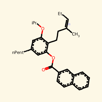 CC/C=C(/C)CCc1c(OC(=O)c2ccc3ccccc3c2)cc(CCCCC)cc1OC(C)C